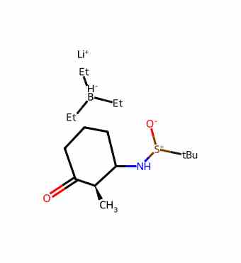 CC[BH-](CC)CC.C[C@H]1C(=O)CCCC1N[S+]([O-])C(C)(C)C.[Li+]